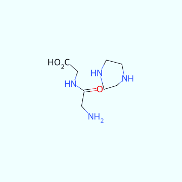 C1CNCCN1.NCC(=O)NCC(=O)O